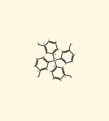 Cc1ccc[c]([Sn]([c]2cccc(C)c2)([c]2cccc(C)c2)[c]2cccc(C)c2)c1